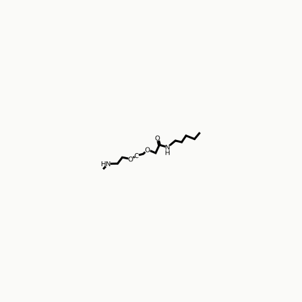 CCCCCNC(=O)COCCOCCNC